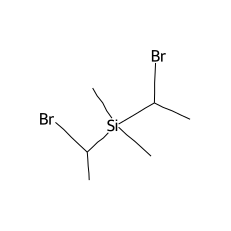 CC(Br)[Si](C)(C)C(C)Br